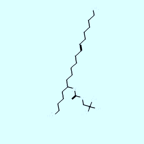 CCCCCCC=CCCCCCC(CCCCC)NC(=O)OCC(C)(C)C